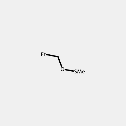 [CH2]CCOSC